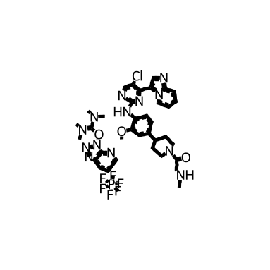 CN(C)C(On1nnc2cccnc21)=[N+](C)C.CNCC(=O)N1CCC(c2ccc(Nc3ncc(Cl)c(-c4cnc5ccccn45)n3)c(OC)c2)CC1.F[P-](F)(F)(F)(F)F